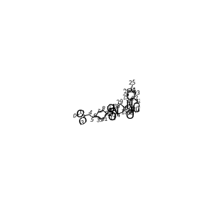 COC(=O)CCc1ccc(S(=O)(=O)N2CCC(N3C(=O)OCc4cc(C)ccc43)CC2)cc1